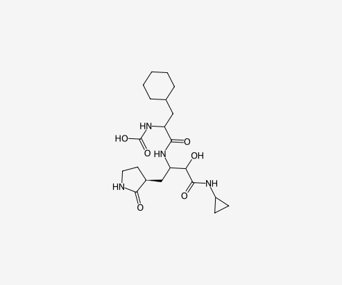 O=C(O)NC(CC1CCCCC1)C(=O)NC(C[C@@H]1CCNC1=O)C(O)C(=O)NC1CC1